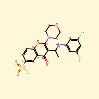 CC(Nc1cc(F)cc(F)c1)c1c(N2CCOCC2)oc2ccc(S(=O)(=O)F)cc2c1=O